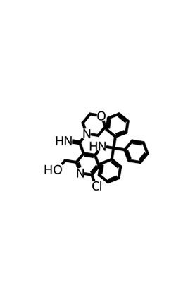 N=C(c1c(NC(c2ccccc2)(c2ccccc2)c2ccccc2)cc(Cl)nc1CO)N1CCOCC1